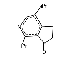 CC(C)c1cnc(C(C)C)c2c1CCC2=O